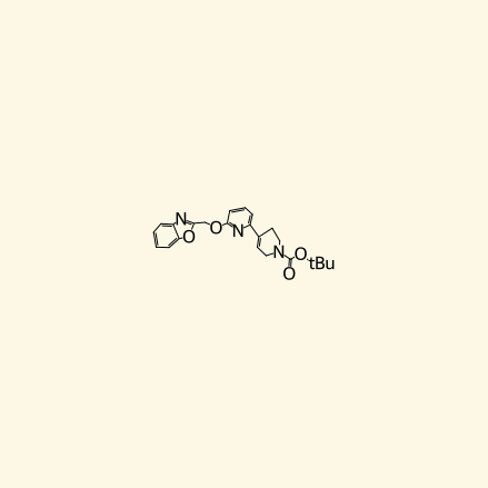 CC(C)(C)OC(=O)N1CC=C(c2cccc(OCc3nc4ccccc4o3)n2)CC1